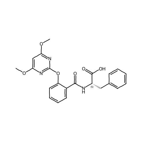 COc1cc(OC)nc(Oc2ccccc2C(=O)N[C@@H](Cc2ccccc2)C(=O)O)n1